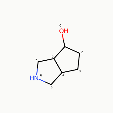 OC1CCC2CNCC12